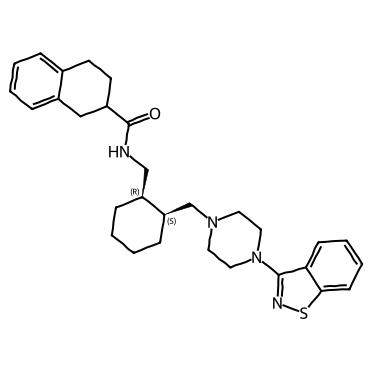 O=C(NC[C@@H]1CCCC[C@@H]1CN1CCN(c2nsc3ccccc23)CC1)C1CCc2ccccc2C1